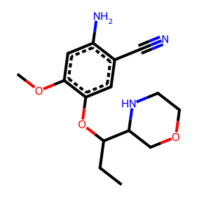 CCC(Oc1cc(C#N)c(N)cc1OC)C1COCCN1